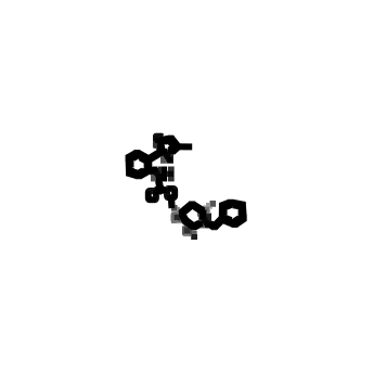 Cc1csc(-c2ccccc2NC(=O)OC[C@H]2C[C@@H](C)N(Cc3ccccc3)[C@@H](C)C2)n1